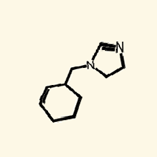 C1=CC(CN2C=NCC2)CCC1